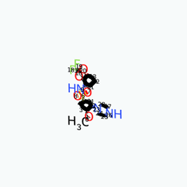 COc1ccc(S(=O)(=O)Nc2cccc3c2OC(F)(F)O3)cc1N1CCNCC1